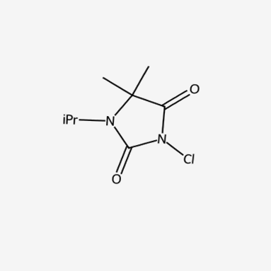 CC(C)N1C(=O)N(Cl)C(=O)C1(C)C